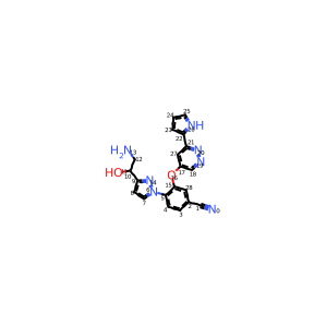 N#Cc1ccc(-n2ccc(C(O)CN)n2)c(Oc2cnnc(-c3ccc[nH]3)c2)c1